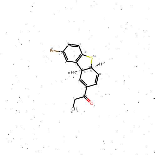 CCC(=O)C1=C[C@H]2c3cc(Br)ccc3S[C@H]2C=C1